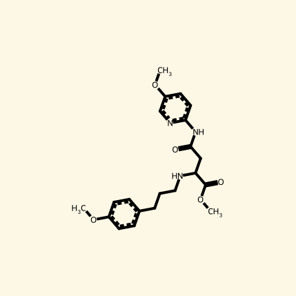 COC(=O)C(CC(=O)Nc1ccc(OC)cn1)NCCCc1ccc(OC)cc1